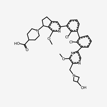 COc1nc(-c2cccc(-c3cccc(-c4cc5c(c(OC)n4)C(N4CCC(C(=O)O)CC4)CC5)c3Cl)c2Cl)cnc1CN1CC(O)C1